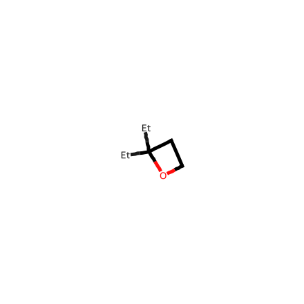 [CH2]CC1(CC)CCO1